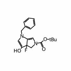 CC(C)(C)OC(=O)N1C=C2N(Cc3ccccc3)C=C(O)C2(F)C1